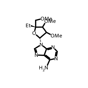 CC[C@]1(COC)O[C@@H](n2cnc3c(N)ncnc32)C(OC)C1OC